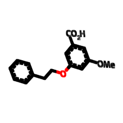 COc1cc(OCCc2ccccc2)cc(C(=O)O)c1